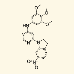 COc1cc(Nc2ncnc(N3CCc4ccc([N+](=O)[O-])cc43)n2)cc(OC)c1OC